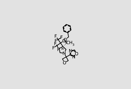 COC(C(F)(F)F)(C(F)(F)F)[C@]1(COCc2ccccc2)CCN(C2(c3ncon3)COC2)C1